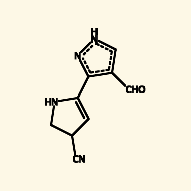 N#CC1C=C(c2n[nH]cc2C=O)NC1